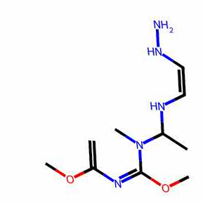 C=C(/N=C(/OC)N(C)C(C)N/C=C\NN)OC